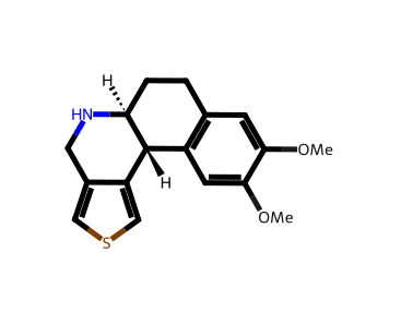 COc1cc2c(cc1OC)[C@@H]1c3cscc3CN[C@H]1CC2